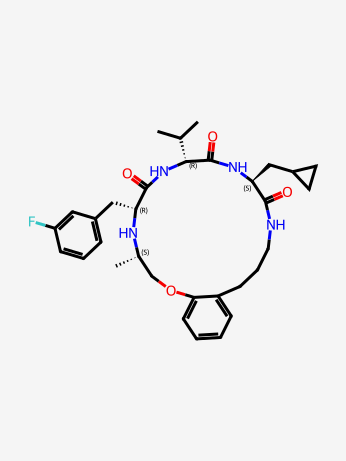 CC(C)[C@H]1NC(=O)[C@@H](Cc2cccc(F)c2)N[C@@H](C)COc2ccccc2CCCNC(=O)[C@H](CC2CC2)NC1=O